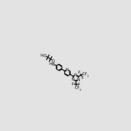 CC(C)(O)C(C)(C)OBc1ccc(-c2ccc(-c3nc(C(F)(F)C(F)(F)F)nc(C(F)(F)C(F)(F)F)n3)cn2)cc1